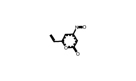 C=Cc1cc(N=O)cc(=O)o1